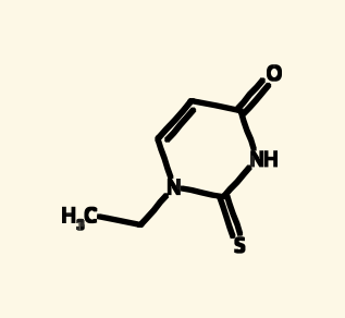 CCn1ccc(=O)[nH]c1=S